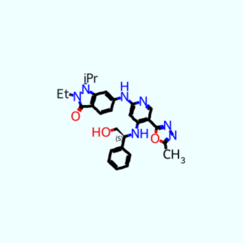 CCn1c(=O)c2ccc(Nc3cc(N[C@H](CO)c4ccccc4)c(-c4nnc(C)o4)cn3)cc2n1C(C)C